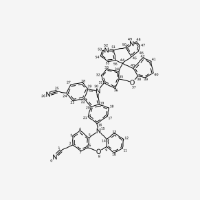 N#Cc1ccc2c(c1)Oc1ccccc1N2c1ccc2c(c1)c1cc(C#N)ccc1n2-c1ccc2c(c1)Oc1ccccc1C21c2cccnc2-c2ncccc21